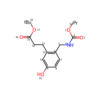 CC(C)OC(=O)NCc1ccc(O)cc1CCC(=O)OC(C)(C)C